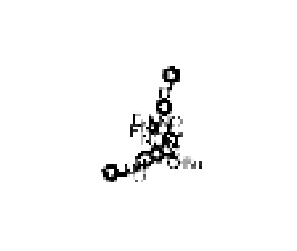 Cc1c(C(=O)N(c2ccc(OCc3ccccc3)cc2)c2cc(C#N)n(C(F)F)c2C)cc(-c2cc3c(cc2C(=O)OC(C)(C)C)CN(C(=O)OCc2ccccc2)CC3)n1C